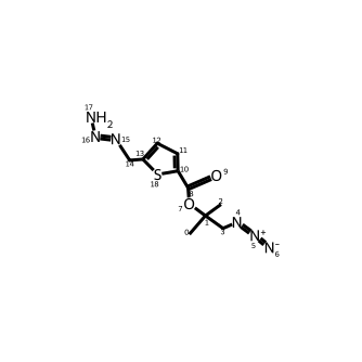 CC(C)(CN=[N+]=[N-])OC(=O)c1ccc(CN=NN)s1